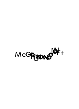 CCc1cc(-c2ccc3c(c2)CCC3N2CC3(CCN(C(=O)Cc4ccc(OC)cn4)CC3)C2)ncn1